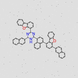 c1ccc2cc(-c3ccc(-c4ccc(C5=NC(c6cccc7c6oc6ccccc67)=NC(c6ccc7ccccc7c6)N5)c5ccccc45)c4c3oc3ccccc34)ccc2c1